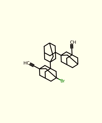 C#CC12CC3CC(C1)CC(C14CC5CC(C1)CC(C16CC7CC(Br)(CC(C#C)(C7)C1)C6)(C5)C4)(C3)C2